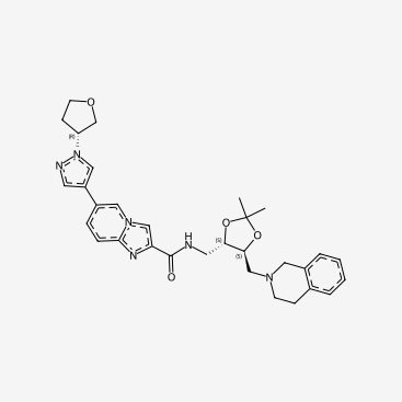 CC1(C)O[C@@H](CNC(=O)c2cn3cc(-c4cnn([C@@H]5CCOC5)c4)ccc3n2)[C@H](CN2CCc3ccccc3C2)O1